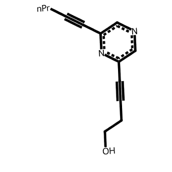 CCCC#Cc1cncc(C#CCCO)n1